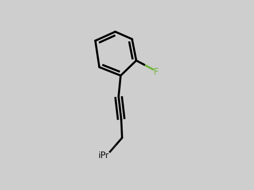 CC(C)CC#Cc1ccccc1F